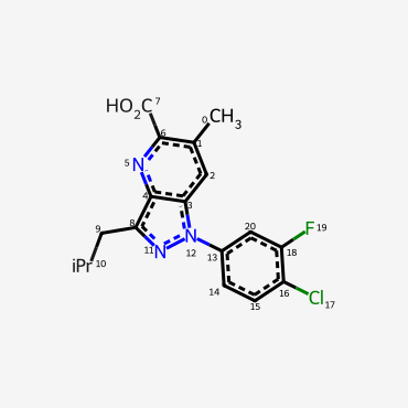 Cc1cc2c(nc1C(=O)O)c(CC(C)C)nn2-c1ccc(Cl)c(F)c1